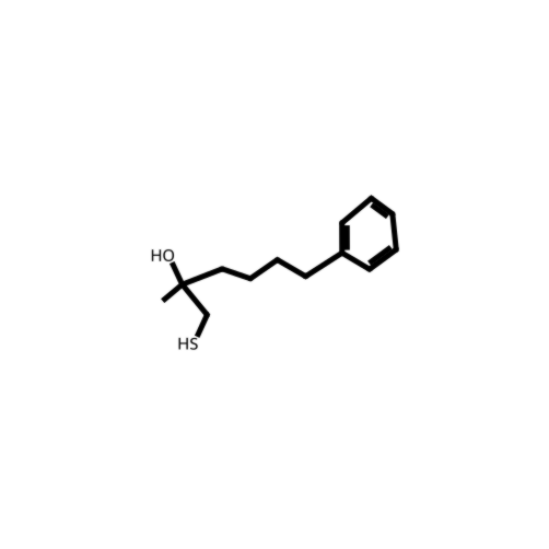 CC(O)(CS)CCCCc1ccccc1